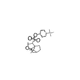 CC(C)(C)c1ccc(OS(=O)(=O)C(I)C23CCC(CC2=O)C3(C)C)cc1